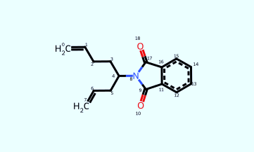 C=CCCC(CC=C)N1C(=O)c2ccccc2C1=O